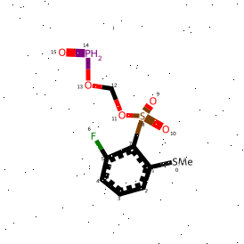 CSc1cccc(F)c1S(=O)(=O)OCO[PH2]=O